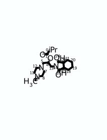 CC(C)C(=O)OC(CN1CCN(C)CC1)CN1C(=O)[C@H]2CCCC[C@H]2C1=O